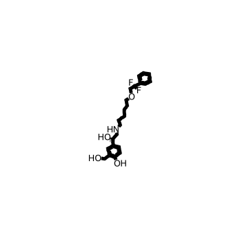 OCc1cc([C@@H](O)CNCCCCCCOCC(F)(F)c2ccccc2)ccc1O